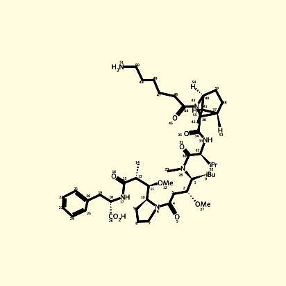 CC[C@H](C)[C@@H]([C@@H](CC(=O)N1CCC[C@H]1[C@H](OC)[C@@H](C)C(=O)N[C@@H](Cc1ccccc1)C(=O)O)OC)N(C)C(=O)[C@@H](NC(=O)[C@@H]1[C@H]2CC[C@@H]([C@H]2C)N1C(=O)CCCCCN)C(C)C